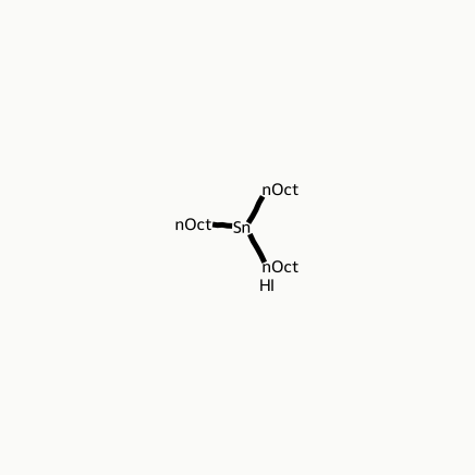 CCCCCCC[CH2][Sn]([CH2]CCCCCCC)[CH2]CCCCCCC.I